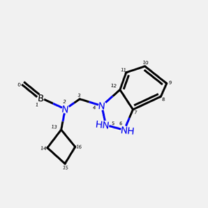 C=BN(CN1NNc2ccccc21)C1CCC1